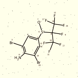 Nc1c(Br)cc([S+]([O-])C(F)(C(F)(F)F)C(F)(F)F)cc1Br